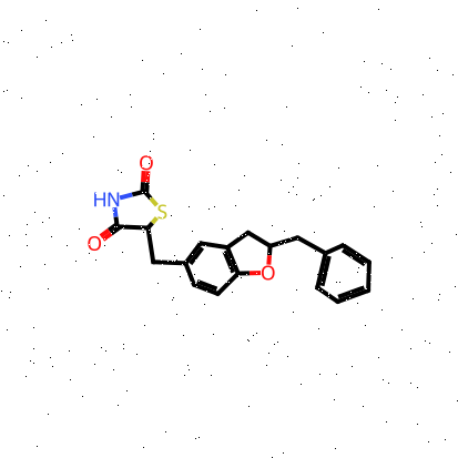 O=C1NC(=O)C(Cc2ccc3c(c2)CC(Cc2ccccc2)O3)S1